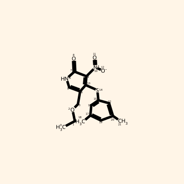 CCOCc1c[nH]c(=O)c([N+](=O)[O-])c1Sc1cc(C)cc(C)c1